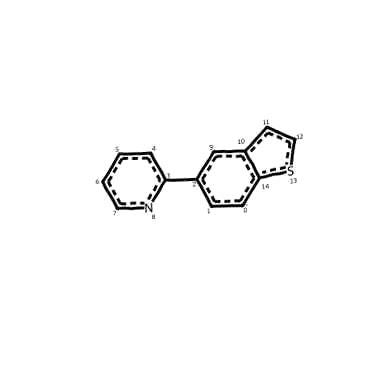 [c]1cc(-c2ccccn2)cc2ccsc12